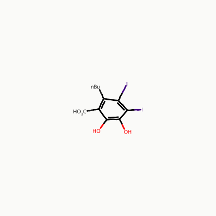 CCCCc1c(I)c(I)c(O)c(O)c1C(=O)O